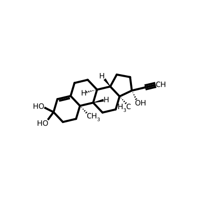 C#C[C@]1(O)CC[C@H]2[C@@H]3CCC4=CC(O)(O)CC[C@]4(C)[C@H]3CC[C@@]21C